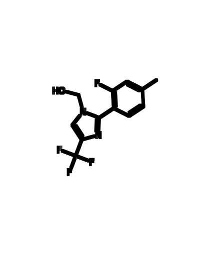 Cc1ccc(-c2nc(C(F)(F)F)cn2CO)c(F)c1